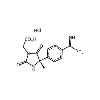 C[C@@]1(c2ccc(C(=N)N)cc2)NC(=O)N(CC(=O)O)C1=O.Cl